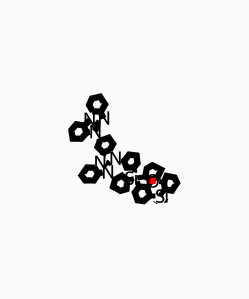 C[Si]1(C)c2ccccc2Oc2c1cccc2[Si](c1ccccc1)(c1ccccc1)c1cccc(-n2c3ccc(-n4c5ccccc5n5c6ccccc6nc45)cc3n3c4ccccc4nc23)c1